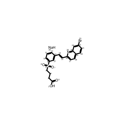 O=C(O)CCCS(=O)(=O)c1cccc(C=Cc2ccc3ccc(Br)cc3n2)c1.[NaH]